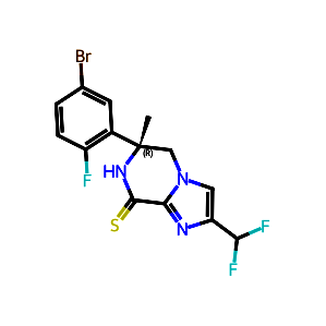 C[C@@]1(c2cc(Br)ccc2F)Cn2cc(C(F)F)nc2C(=S)N1